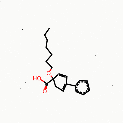 CCCCCCCOC1(C(=O)O)C=CC(c2ccccc2)=CC1